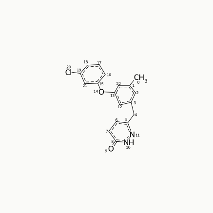 Cc1cc(Cc2ccc(=O)[nH]n2)cc(Oc2cccc(Cl)c2)c1